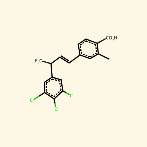 Cc1cc(C=CC(c2cc(Cl)c(Cl)c(Cl)c2)C(F)(F)F)ccc1C(=O)O